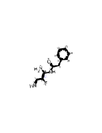 N=C/C(F)=C(\N)NC(=O)Cc1ccccc1